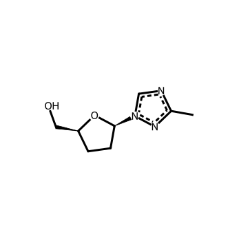 Cc1ncn([C@H]2CC[C@@H](CO)O2)n1